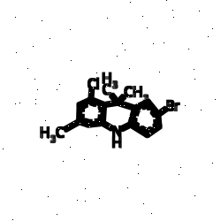 Cc1cc(Cl)c2c(c1)Nc1ccc(Br)cc1C2(C)C